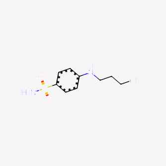 CCCCNc1ccc(S(N)(=O)=O)cc1